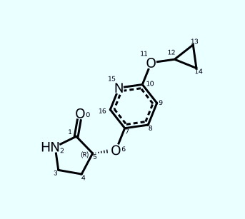 O=C1NCC[C@H]1Oc1ccc(OC2CC2)nc1